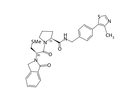 CSC[C@@H](C(=O)N1CCC[C@H]1C(=O)NCc1ccc(-c2scnc2C)cc1)N1Cc2ccccc2C1=O